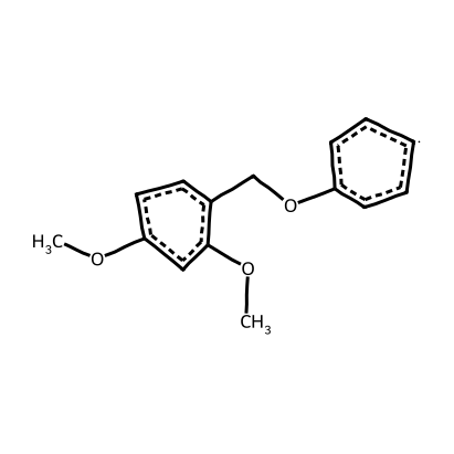 COc1ccc(COc2cc[c]cc2)c(OC)c1